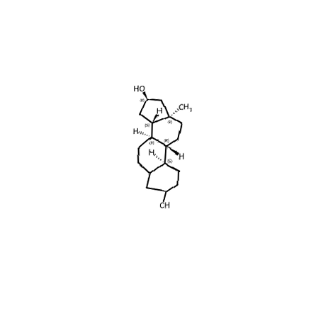 C[C@]12CC[C@H]3[C@@H](CCC4CC(O)CC[C@@H]43)[C@@H]1C[C@@H](O)C2